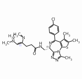 C=N/C(=C\N(C)C)CCC(=O)NC[C@@H]1N=C(c2ccc(Cl)cc2)c2c(sc(C)c2C)-n2c(C)nnc21